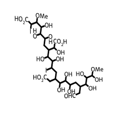 COC(O)C(O)C(O)C(CC=O)CC(O)C(O)C(O)C(CC(=O)O)CC(I)C(O)C(O)C(CC(O)C(O)C(O)C(OC)C(I)C(=O)O)C(O)C(=O)O